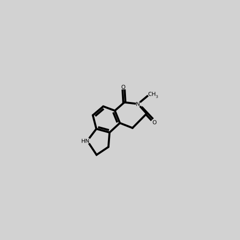 CN1C(=O)Cc2c(ccc3c2CCN3)C1=O